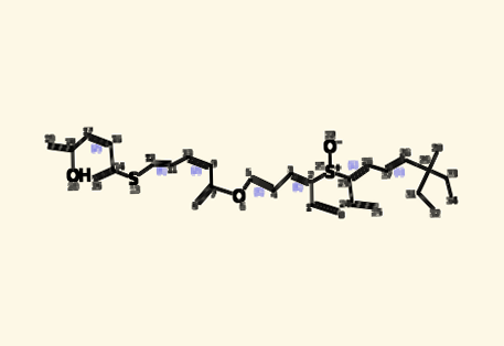 C=C/C(=C\C=C\OC(=C)/C=C\C=C\SC(=C)/C=C\C(=C)O)[S+]([O-])/C(C=C)=C/C=C/C(C)(CC)CC